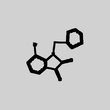 O=C1C(=O)N(Cc2ccccc2)c2c(Br)cccc21